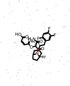 NC(=O)C(OC(=O)/C=C\C(=O)O)C(=O)N1C2CC[C@H]1CC([C@H](N)Cc1cc(F)c(F)cc1F)C2